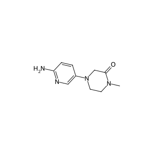 CN1CCN(c2ccc(N)nc2)CC1=O